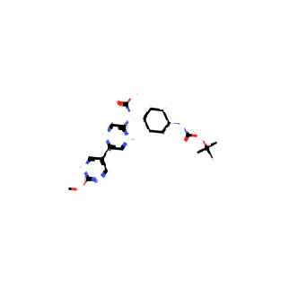 COc1ncc(-c2cnc(N(C(=O)O)[C@H]3CC[C@H](NC(=O)OC(C)(C)C)CC3)cn2)cn1